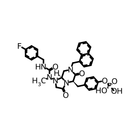 CN(C(=O)NCc1ccc(F)cc1)N1CC(=O)N2[C@H](Cc3ccc(OP(=O)(O)O)cc3)C(=O)N(Cc3cccc4ccccc34)C[C@@H]21